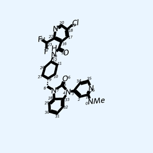 CNc1cc(-n2c(=O)n(C[C@H]3CC[C@H](NC(=O)c4cc(Cl)cnc4C(F)F)CC3)c3ccccc32)ccn1